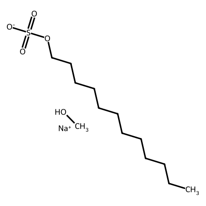 CCCCCCCCCCCCOS(=O)(=O)[O-].CO.[Na+]